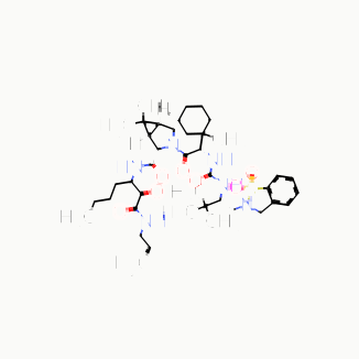 C=CCNC(=O)C(=O)C(CCCC)NC(=O)[C@@H]1[C@@H]2[C@H](CN1C(=O)[C@@H](NC(=O)N[C@H](CN1Cc3ccccc3S1(=O)=O)C(C)(C)C)C1(C)CCCCC1)C2(C)C